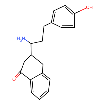 NC(CCc1ccc(O)cc1)C1CC(=O)c2ccccc2C1